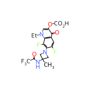 CCn1cc(OC(=O)O)c(=O)c2cc(F)c(N3CC(C)(NC(=O)C(F)(F)F)C3)c(F)c21